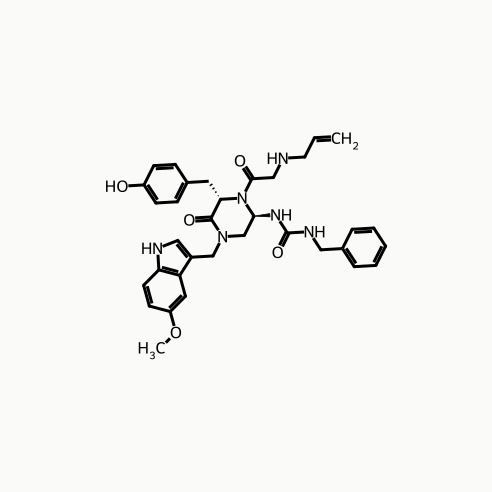 C=CCNCC(=O)N1[C@@H](NC(=O)NCc2ccccc2)CN(Cc2c[nH]c3ccc(OC)cc23)C(=O)[C@@H]1Cc1ccc(O)cc1